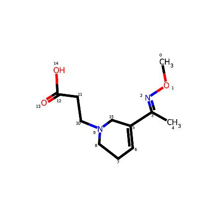 CON=C(C)C1=CCCN(CCC(=O)O)C1